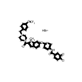 Br.Cn1c(C(=O)N2CCN(Cc3ccc(OC(F)(F)F)cc3)CC2)cc2ccc(Oc3ccc(NC(=O)c4ccc(Cl)c(Cl)c4)cn3)cc21